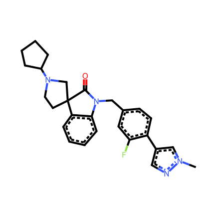 Cn1cc(-c2ccc(CN3C(=O)C4(CCN(C5CCCC5)C4)c4ccccc43)cc2F)cn1